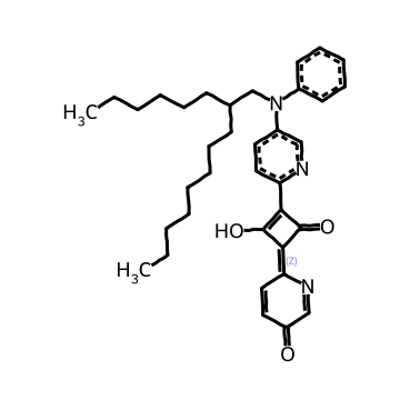 CCCCCCCCC(CCCCCC)CN(c1ccccc1)c1ccc(C2=C(O)/C(=C3\C=CC(=O)C=N3)C2=O)nc1